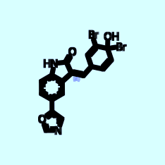 O=C1Nc2ccc(-c3cnco3)cc2/C1=C/C1C=CC(O)(Br)C(Br)=C1